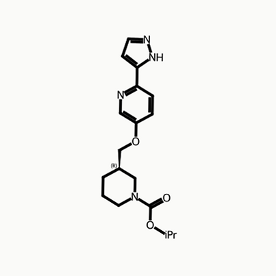 CC(C)OC(=O)N1CCC[C@@H](COc2ccc(-c3ccn[nH]3)nc2)C1